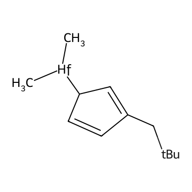 [CH3][Hf]([CH3])[CH]1C=CC(CC(C)(C)C)=C1